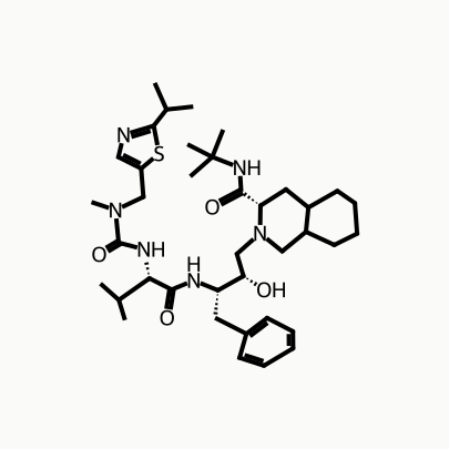 CC(C)c1ncc(CN(C)C(=O)N[C@H](C(=O)N[C@@H](Cc2ccccc2)[C@@H](O)CN2CC3CCCCC3C[C@H]2C(=O)NC(C)(C)C)C(C)C)s1